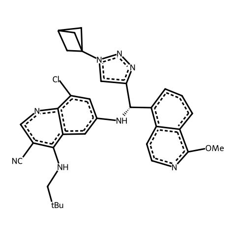 COc1nccc2c([C@H](Nc3cc(Cl)c4ncc(C#N)c(NCC(C)(C)C)c4c3)c3cn(C45CC(C4)C5)nn3)cccc12